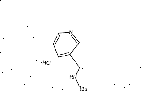 CC(C)(C)NCc1cccnc1.Cl